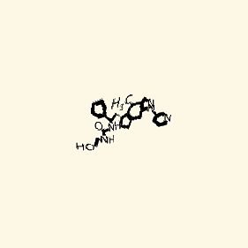 C[C@@H]1C2=C(CC[C@@H]2CC(NC(=O)NCCO)c2ccccc2)Cc2c1cnn2-c1cccnc1